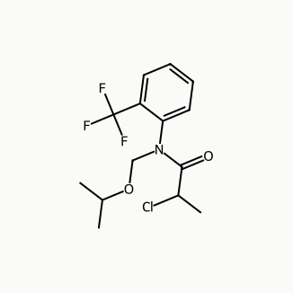 CC(C)OCN(C(=O)C(C)Cl)c1ccccc1C(F)(F)F